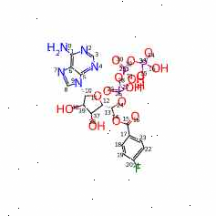 Nc1ncnc2c1ncn2[C@@H]1O[C@H](C(OC(=O)c2ccc(F)cc2)OP(=O)(O)OP(=O)(O)OP(=O)(O)O)[C@@H](O)[C@H]1O